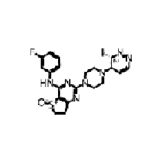 [O-][S+]1CCc2nc(N3CCN(C4C=CN=N[C@H]4I)CC3)nc(Nc3cccc(F)c3)c21